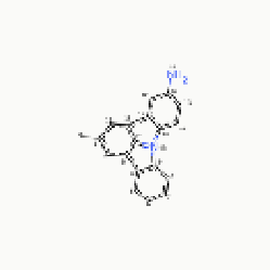 Cc1cc2c3ccccc3n3c4ccc(N)cc4c(c1)c23